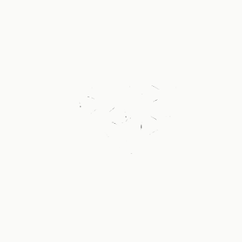 CCCc1ccc2c(c1-c1cc(C(F)(F)F)cc(C(F)(F)F)c1)C=C(CC)[CH]2[Zr]([Cl])([Cl])([CH]1C(CC)=Cc2c1ccc(CCC)c2-c1cc(C(F)(F)F)cc(C(F)(F)F)c1)[SiH](C)C